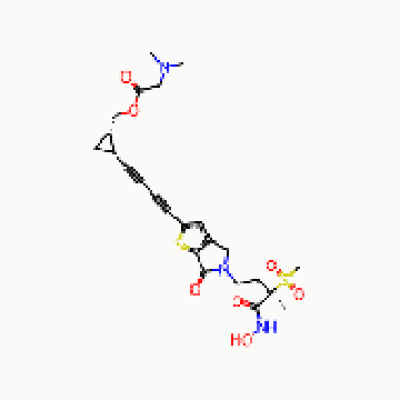 CN(C)CC(=O)OC[C@H]1C[C@@H]1C#CC#Cc1cc2c(s1)C(=O)N(CC[C@](C)(C(=O)NO)S(C)(=O)=O)C2